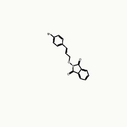 O=C1c2ccccc2C(=O)N1OC/C=C/c1ccc(Br)cc1